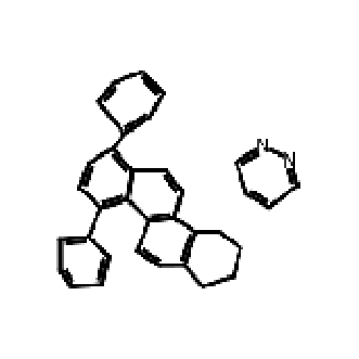 c1ccc(-c2ccc(-c3ccccc3)c3c2ccc2c4c(ccc23)CCCC4)cc1.c1ccnnc1